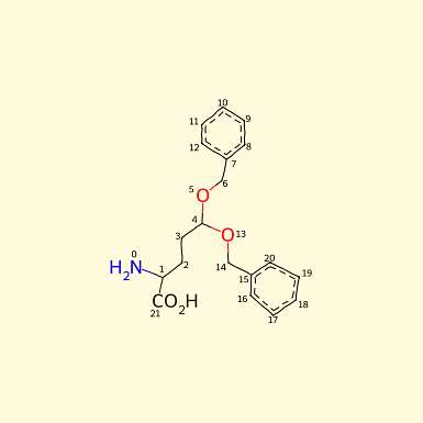 NC(CCC(OCc1ccccc1)OCc1ccccc1)C(=O)O